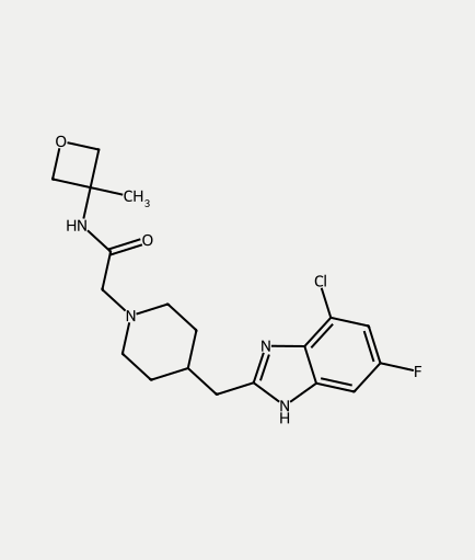 CC1(NC(=O)CN2CCC(Cc3nc4c(Cl)cc(F)cc4[nH]3)CC2)COC1